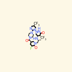 C[C@@H](Cn1cc(C(=O)N2CCN(c3ncc(C(F)(F)F)cn3)CC2)cc(F)c1=O)Nc1cn[nH]c(=O)c1C(F)(F)F